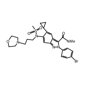 CNC(=O)c1c2cc(C3CC3)c(N(CCCN3CCOCC3)S(C)(=O)=O)cc2nn1-c1ccc(Br)cc1